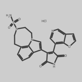 Cl.NS(=O)(=O)N1CCc2cccc3c(C4=C(c5cncc6ccoc56)C(=O)NC4=O)cn(c23)CC1